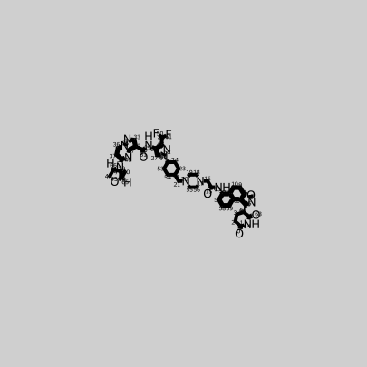 O=C1CC[C@@H](c2noc3ccc4c(NC(=O)CN5CCN(CC6CCC(n7cc(NC(=O)c8cnn9ccc(N%10C[C@H]%11C[C@@H]%10CO%11)nc89)c(C(F)F)n7)CC6)CC5)cccc4c23)C(=O)N1